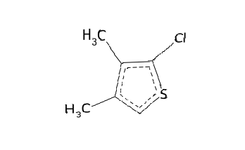 Cc1csc(Cl)c1C